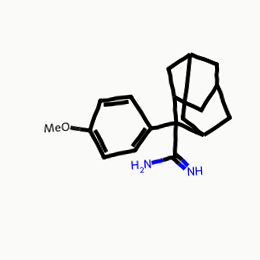 COc1ccc(C2(C(=N)N)C3CC4CC(C3)CC2C4)cc1